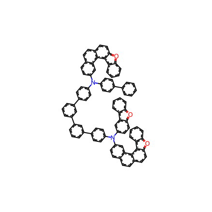 c1ccc(-c2ccc(N(c3ccc(-c4cccc(-c5cccc(-c6ccc(N(c7ccc8oc9ccccc9c8c7)c7ccc8ccc9ccc%10oc%11ccccc%11c%10c9c8c7)cc6)c5)c4)cc3)c3ccc4ccc5ccc6oc7ccccc7c6c5c4c3)cc2)cc1